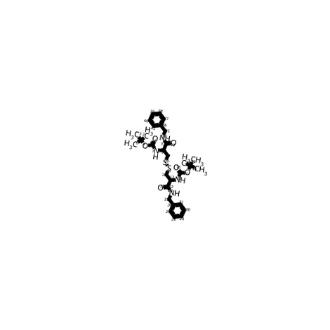 CC(C)(C)OC(=O)NC(CSSCC(NC(=O)OC(C)(C)C)C(=O)NCc1ccccc1)C(=O)NCc1ccccc1